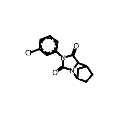 O=C1C2C3CCC(C3)N2C(=O)N1c1cccc(Cl)c1